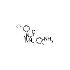 Cc1cc(CN2N=NN(c3cccc(Cl)c3)C2C=O)ccc1N